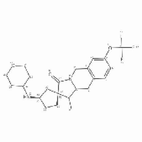 CC1C2Cc3ccc(OC(F)(F)F)cc3CN2C(=O)[C@]12CC[C@@H](NC1CCOCC1)C2